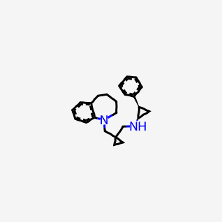 c1ccc([C@H]2C[C@@H]2NCC2(CN3CCCCc4ccccc43)CC2)cc1